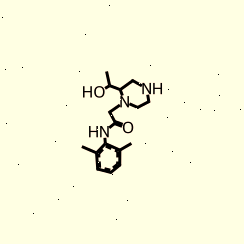 Cc1cccc(C)c1NC(=O)CN1CCNCC1C(C)O